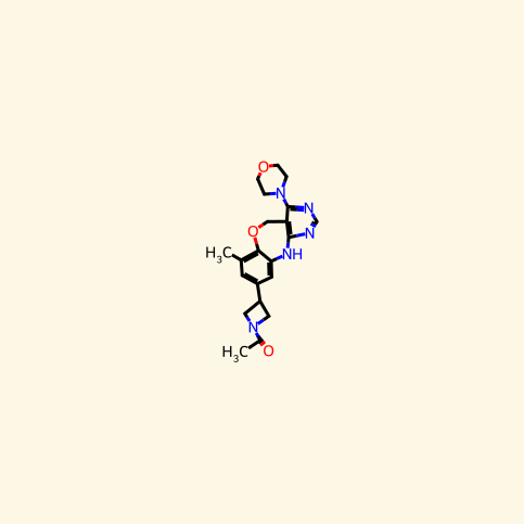 CC(=O)N1CC(c2cc(C)c3c(c2)Nc2ncnc(N4CCOCC4)c2CO3)C1